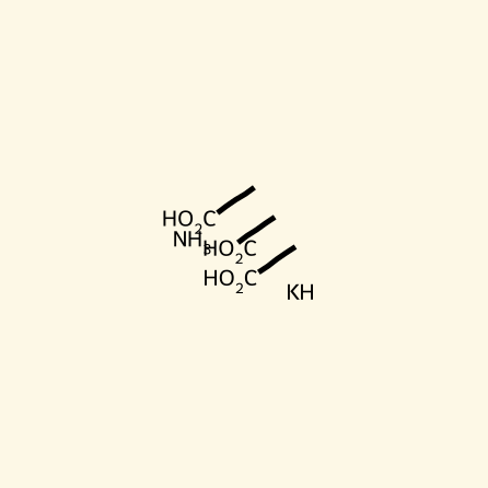 CC(=O)O.CC(=O)O.CC(=O)O.N.[KH]